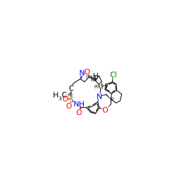 C[C@@H]1CCC2=NO[C@@H](C2)[C@@H]2CC[C@H]2CN2C[C@@]3(CCCc4cc(Cl)ccc43)COc3ccc(cc32)C(=O)NS1(=O)=O